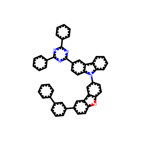 c1ccc(-c2cccc(-c3ccc4oc5ccc(-n6c7ccccc7c7cc(-c8nc(-c9ccccc9)nc(-c9ccccc9)n8)ccc76)cc5c4c3)c2)cc1